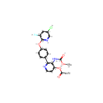 CCCC(=O)Oc1ccnc(-c2ccc(Oc3ncc(Cl)cc3F)cc2)c1NC(=O)OC(C)(C)C